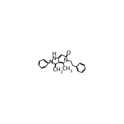 C=C1c2c(cc(=O)n(CCc3ccccc3)c2C)NN1c1ccccc1